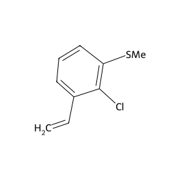 C=Cc1cccc(SC)c1Cl